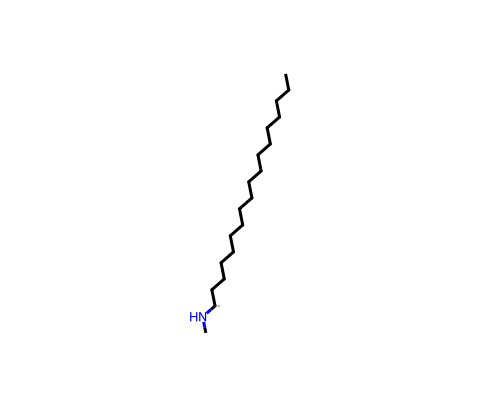 CCCCCCCCCCCCCCCCC[CH]NC